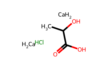 CC(O)C(=O)O.Cl.[CaH2].[CaH2]